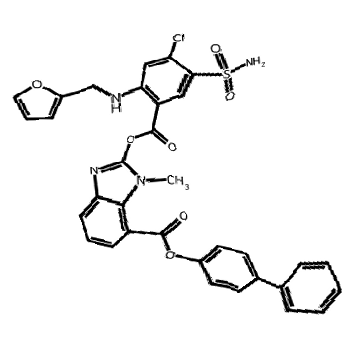 Cn1c(OC(=O)c2cc(S(N)(=O)=O)c(Cl)cc2NCc2ccco2)nc2cccc(C(=O)Oc3ccc(-c4ccccc4)cc3)c21